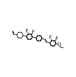 C=CC1CCC(c2ccc(-c3ccc(/C=C/c4ccc(OCC)c(F)c4F)cc3)c(F)c2F)CC1